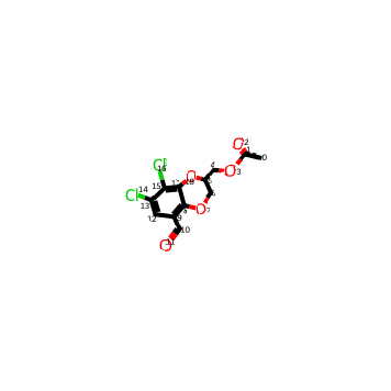 CC(=O)OCC1COc2c(C=O)cc(Cl)c(Cl)c2O1